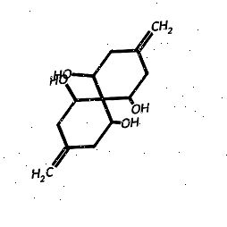 C=C1CC(O)C2(C(O)C1)C(O)CC(=C)CC2O